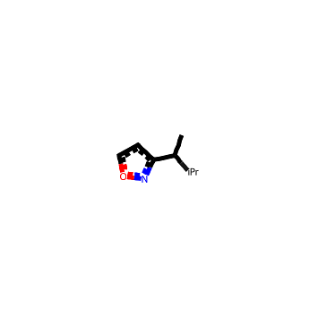 CC(C)C(C)c1ccon1